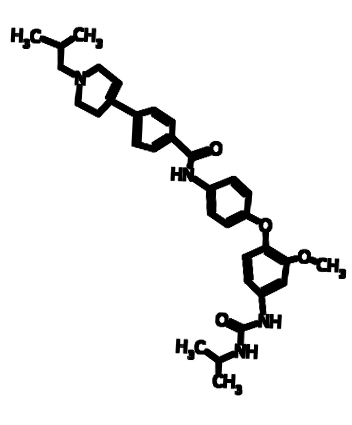 COc1cc(NC(=O)NC(C)C)ccc1Oc1ccc(NC(=O)c2ccc(C3=CCN(CC(C)C)CC3)cc2)cc1